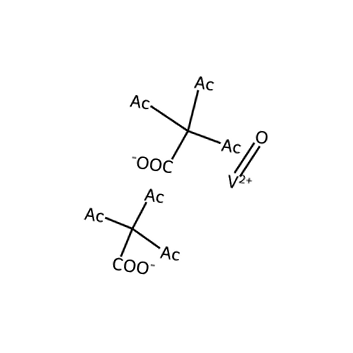 CC(=O)C(C(C)=O)(C(C)=O)C(=O)[O-].CC(=O)C(C(C)=O)(C(C)=O)C(=O)[O-].[O]=[V+2]